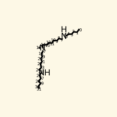 CCCCCCNCCCCCCCCN(C)CCCCCCCCNCCCCCC